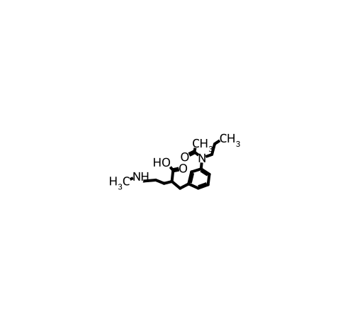 CCCN(C(C)=O)c1cccc(CC(CCCNC)C(=O)O)c1